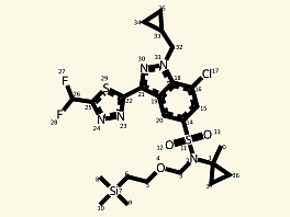 CC1(N(COCC[Si](C)(C)C)S(=O)(=O)c2cc(Cl)c3c(c2)c(-c2nnc(C(F)F)s2)nn3CC2CC2)CC1